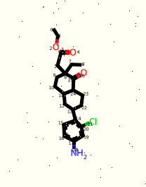 CCOC(=O)CC1(CC)CCC2CC(c3ccc(N)cc3Cl)CCC2C1=O